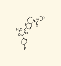 C[C@@H](NC(=O)c1ccc(F)cc1)c1ccc2c(n1)CCCN2C(=O)[C@H]1CCOC1